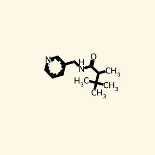 CC(C(=O)NCc1cccnc1)C(C)(C)C